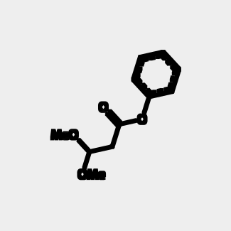 COC(CC(=O)Oc1ccccc1)OC